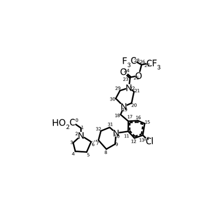 O=C(O)CN1CCC[C@H]1C1CCN(c2cc(Cl)ccc2CN2CCN(C(=O)OC(C(F)(F)F)C(F)(F)F)CC2)CC1